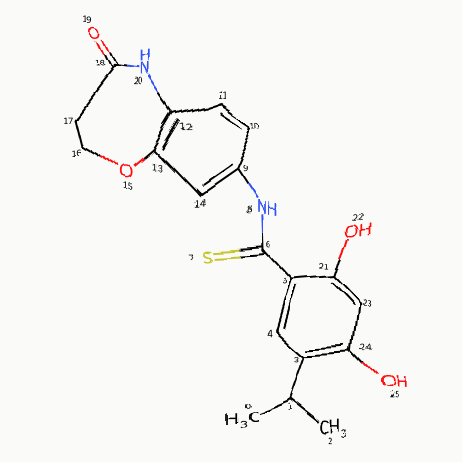 CC(C)c1cc(C(=S)Nc2ccc3c(c2)OCCC(=O)N3)c(O)cc1O